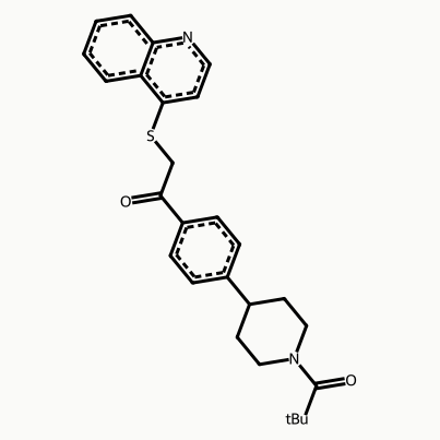 CC(C)(C)C(=O)N1CCC(c2ccc(C(=O)CSc3ccnc4ccccc34)cc2)CC1